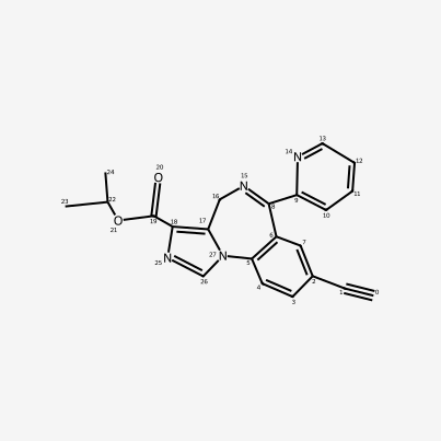 C#Cc1ccc2c(c1)C(c1ccccn1)=NCc1c(C(=O)OC(C)C)ncn1-2